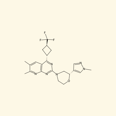 Cc1cc2c(nc(N3CCO[C@@H](c4cnn(C)c4)C3)nc2[C@H]2C[C@H](C(F)(F)F)C2)nc1C